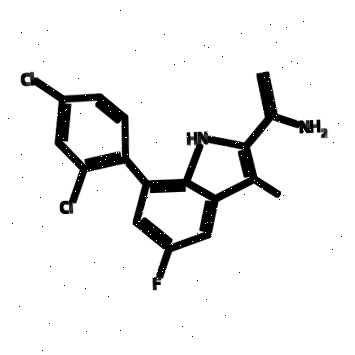 C=C(N)c1[nH]c2c(-c3ccc(Cl)cc3Cl)cc(F)cc2c1C